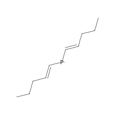 CCC/C=C/[P]/C=C/CCC